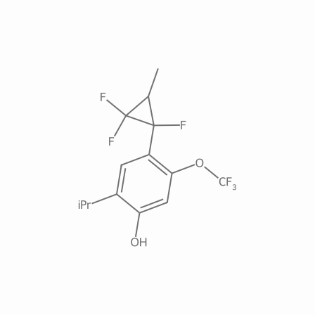 CC(C)c1cc(C2(F)C(C)C2(F)F)c(OC(F)(F)F)cc1O